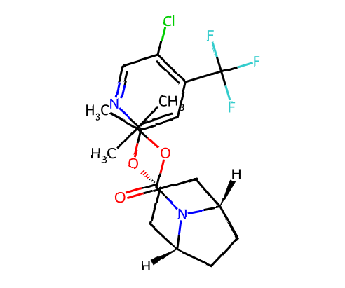 CC(C)(C)OC(=O)N1[C@@H]2CC[C@H]1C[C@@H](Oc1cc(C(F)(F)F)c(Cl)cn1)C2